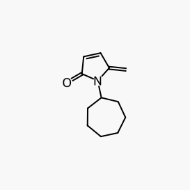 C=C1C=CC(=O)N1C1CCCCCC1